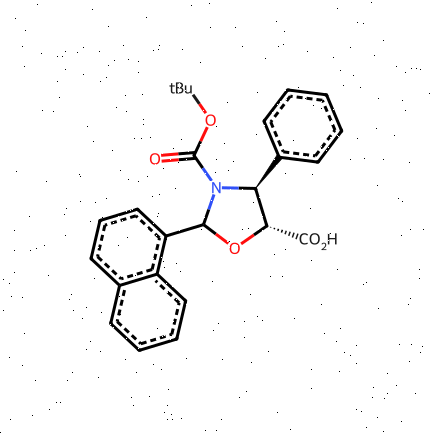 CC(C)(C)OC(=O)N1C(c2cccc3ccccc23)O[C@@H](C(=O)O)[C@@H]1c1ccccc1